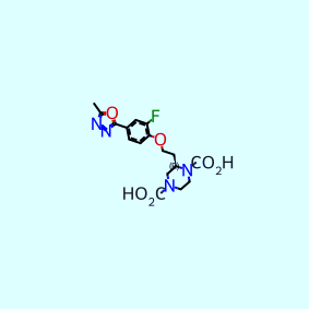 Cc1nnc(-c2ccc(OCC[C@@H]3CN(C(=O)O)CCN3C(=O)O)c(F)c2)o1